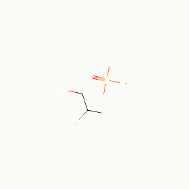 NC(CO)C(=O)O.O=P(O)(O)O